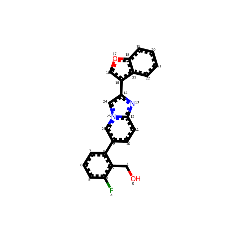 OCc1c(F)cccc1-c1ccc2nc(-c3coc4ccccc34)cn2c1